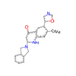 COc1cc2[nH]c(N3Cc4ccccc4C3)cc(=O)c2cc1-c1cnco1